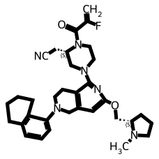 C=C(F)C(=O)N1CCN(c2nc(OC[C@@H]3CCCN3C)cc3c2CCN(c2cccc4c2CCCC4)C3)C[C@@H]1CC#N